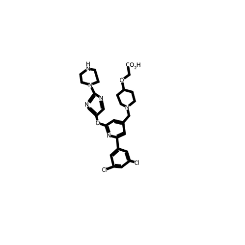 O=C(O)COC1CCN(Cc2cc(Oc3cnc(N4CCNCC4)nc3)nc(-c3cc(Cl)cc(Cl)c3)c2)CC1